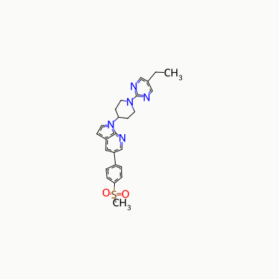 CCc1cnc(N2CCC(n3ccc4cc(-c5ccc(S(C)(=O)=O)cc5)cnc43)CC2)nc1